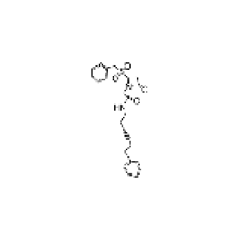 O=C(CN1C(=O)CC1S(=O)(=O)Cc1ccccc1)NCCC#CCCc1ccccc1